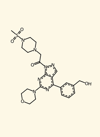 CS(=O)(=O)N1CCN(CC(=O)n2ncc3c(-c4cccc(CO)c4)nc(N4CCOCC4)nc32)CC1